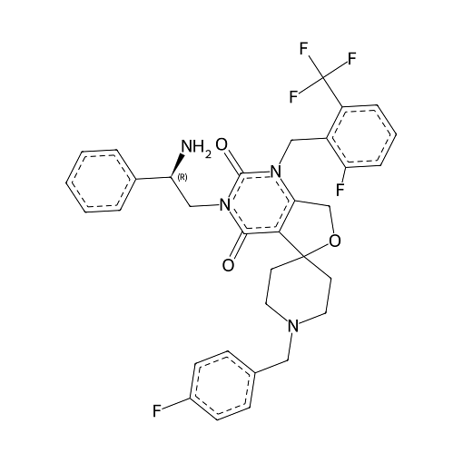 N[C@@H](Cn1c(=O)c2c(n(Cc3c(F)cccc3C(F)(F)F)c1=O)COC21CCN(Cc2ccc(F)cc2)CC1)c1ccccc1